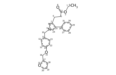 CCOC(=O)CCc1cn(Cc2ccc(OCc3ccco3)cc2)cc1-c1ccccc1